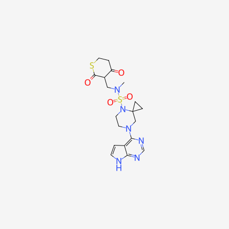 CN(CC1C(=O)CCSC1=O)S(=O)(=O)N1CCN(c2ncnc3[nH]ccc23)CC12CC2